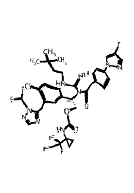 CC(C)(C)CCNC(=N)N(C(=O)c1ccc(-n2cc(F)cn2)cc1)[C@H](COC(=O)NC1(C(F)(F)F)CC1)c1ccc(Cl)c(-c2ncnn2C(F)F)c1